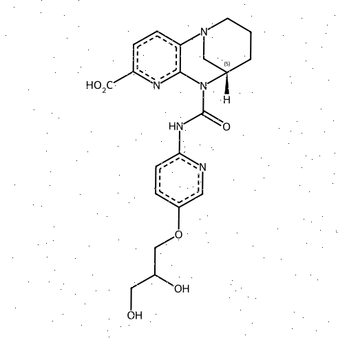 O=C(O)c1ccc2c(n1)N(C(=O)Nc1ccc(OCC(O)CO)cn1)[C@H]1CCCN2C1